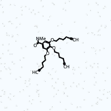 C#CCCCCOc1cc(C(=O)NC)cc(OCCCCC#C)c1OCCCCC#C